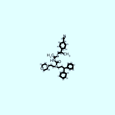 C=C(NC(=O)N(CCC(c1ccccc1)c1ccccc1)CCN1CCOCC1)S/C=C(\C)c1ccc(C#N)cc1